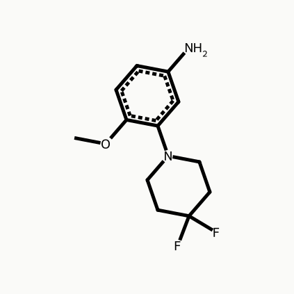 COc1ccc(N)cc1N1CCC(F)(F)CC1